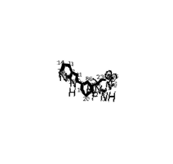 CN1C(=N)N[C@](C)(c2cc(-c3cc4cccnc4[nH]3)ccc2F)CS1(=O)=O